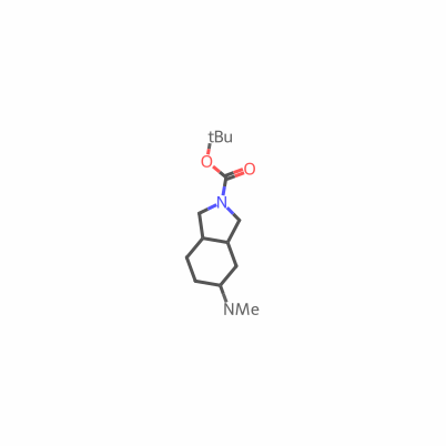 CNC1CCC2CN(C(=O)OC(C)(C)C)CC2C1